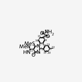 CNC(=N)c1c(SC)n(-c2ccc(S(N)(=O)=O)cc2)c(-c2ccc(C)cc2)nc1=O